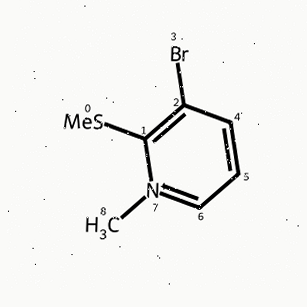 CSc1c(Br)ccc[n+]1C